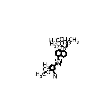 COC(=O)CN(C(=O)OC(C)(C)C)C1CCCc2c(-c3nnc(-c4ccc(OC(C)C)c(C#N)c4)s3)cccc21